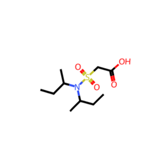 CCC(C)N(C(C)CC)S(=O)(=O)CC(=O)O